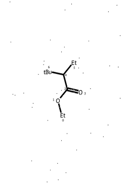 CCOC(=O)C(CC)C(C)(C)C